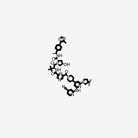 Cc1ncsc1-c1ccc([C@H](C)NC(=O)[C@@H]2C[C@@H](O)CN2C(=O)[C@@H](NC(=O)c2cncc(C(=O)N3CCC(c4cc(Nc5cc(C#N)ccn5)nc(N5CCC(F)(F)C5)c4)CC3)n2)C(C)(C)C)cc1